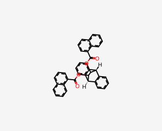 O=C(OC1C(OC(=O)c2cccc3ccccc23)[C@H]2c3ccccc3[C@H]1c1ccccc12)c1cccc2ccccc12